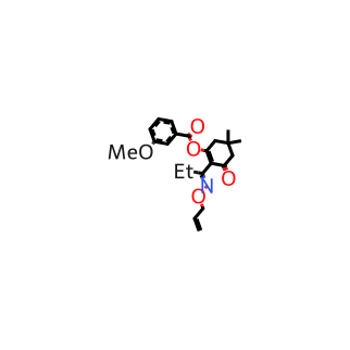 C=CCON=C(CC)C1=C(OC(=O)c2cccc(OC)c2)CC(C)(C)CC1=O